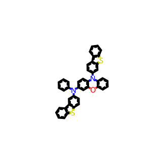 c1ccc(N(c2ccc3c(c2)Oc2ccccc2N3c2ccc3c(c2)sc2ccccc23)c2ccc3sc4ccccc4c3c2)cc1